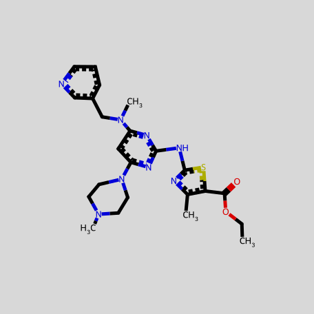 CCOC(=O)c1sc(Nc2nc(N(C)Cc3cccnc3)cc(N3CCN(C)CC3)n2)nc1C